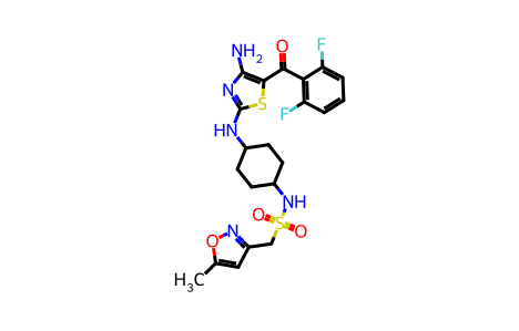 Cc1cc(CS(=O)(=O)NC2CCC(Nc3nc(N)c(C(=O)c4c(F)cccc4F)s3)CC2)no1